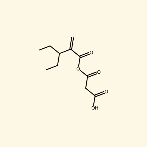 C=C(C(=O)OC(=O)CC(=O)O)C(CC)CC